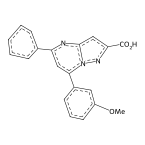 COc1cccc(-c2cc(-c3ccccc3)nc3cc(C(=O)O)nn23)c1